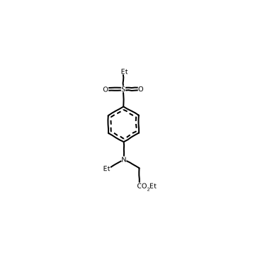 CCOC(=O)CN(CC)c1ccc(S(=O)(=O)CC)cc1